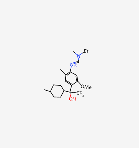 CCN(C)/C=N/c1cc(OC)c(C(O)(C2CCC(C)CC2)C(F)(F)F)cc1C